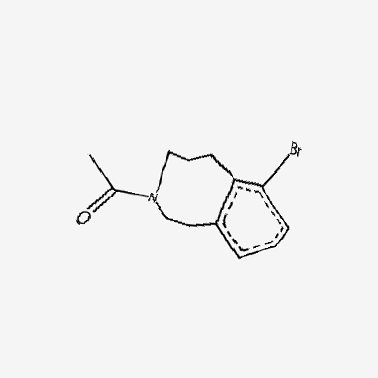 CC(=O)N1CCc2c(Br)cccc2C1